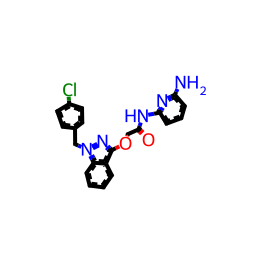 Nc1cccc(NC(=O)COc2nn(Cc3ccc(Cl)cc3)c3ccccc23)n1